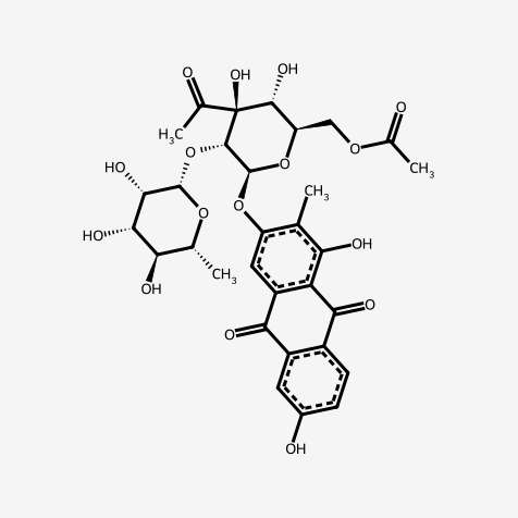 CC(=O)OC[C@H]1O[C@@H](Oc2cc3c(c(O)c2C)C(=O)c2ccc(O)cc2C3=O)[C@H](O[C@@H]2O[C@H](C)[C@@H](O)[C@H](O)[C@@H]2O)[C@](O)(C(C)=O)[C@@H]1O